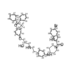 CC(C)(C)[Si](Oc1ccc(OC[C@@H](O)CNCCc2ccc(NC3CCN(C(=O)c4cc5cc(Br)ccc5[nH]4)CC3)cc2)cc1)(c1ccccc1)c1ccccc1